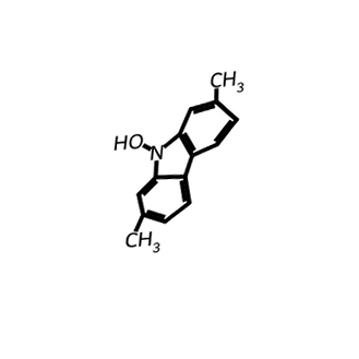 Cc1ccc2c3ccc(C)cc3n(O)c2c1